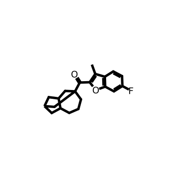 Cc1c(C(=O)C23CCCC4CC(CC4C2)C3)oc2cc(F)ccc12